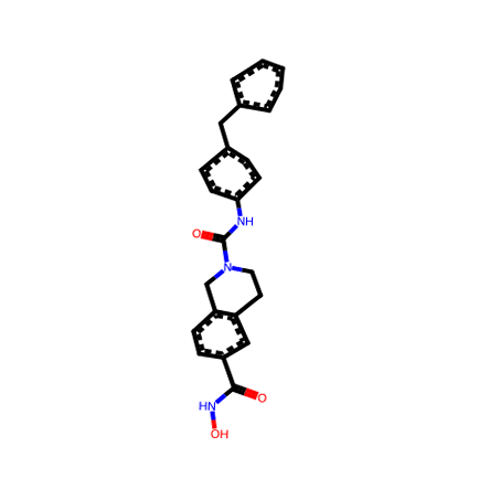 O=C(NO)c1ccc2c(c1)CCN(C(=O)Nc1ccc(Cc3ccccc3)cc1)C2